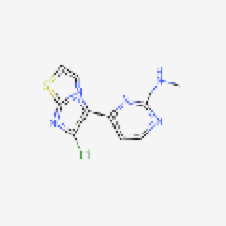 CNc1nccc(-c2c(Cl)nc3sccn23)n1